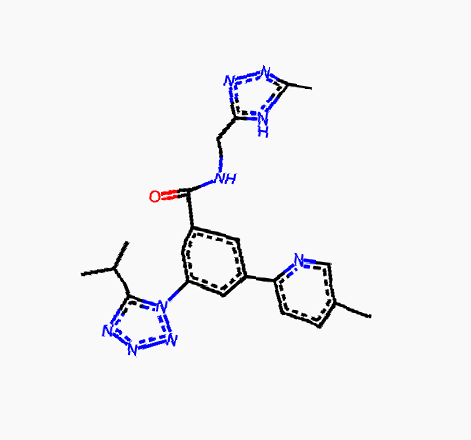 Cc1ccc(-c2cc(C(=O)NCc3nnc(C)[nH]3)cc(-n3nnnc3C(C)C)c2)nc1